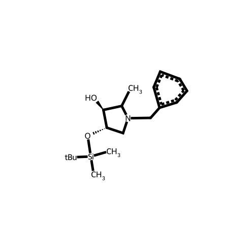 CC1[C@H](O)[C@@H](O[Si](C)(C)C(C)(C)C)CN1Cc1ccccc1